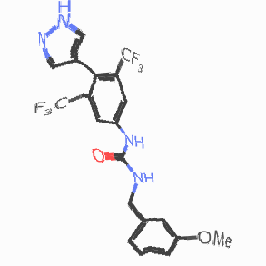 COc1cccc(CNC(=O)Nc2cc(C(F)(F)F)c(-c3cn[nH]c3)c(C(F)(F)F)c2)c1